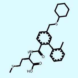 CSCCC(NC(=O)c1ccc(CSC2CCCCC2)cc1-c1ccccc1C)C(=O)O